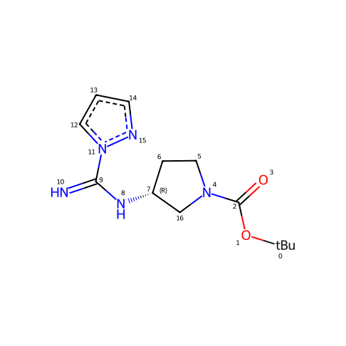 CC(C)(C)OC(=O)N1CC[C@@H](NC(=N)n2cccn2)C1